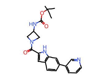 CC(C)(C)OC(=O)NC1CN(C(=O)c2cc3ccc(-c4cccnc4)cc3[nH]2)C1